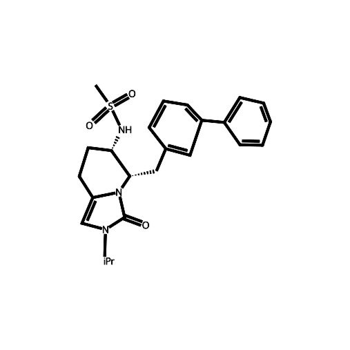 CC(C)n1cc2n(c1=O)[C@@H](Cc1cccc(-c3ccccc3)c1)[C@@H](NS(C)(=O)=O)CC2